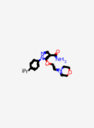 CC(C)c1ccc(-n2ncc(C(N)=O)c2OCCN2CCOCC2)cc1